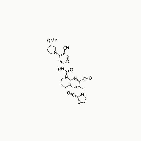 CO[C@H]1CCN(c2cc(NC(=O)N3CCCc4cc(CN5CCOC5=C=O)c(C=O)nc43)ncc2C#N)C1